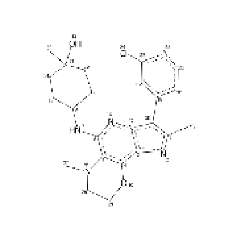 Cc1nc2c3c(c(NC4CCC(C)(O)CC4)nn2c1-c1ccnc(Cl)c1)N(C)CCO3